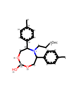 CCCCCCCCCCCCN1C(c2ccc(C)cc2)COB(O)OCC1c1ccc(C)cc1